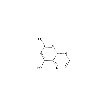 CCc1nc(O)c2nccnc2n1